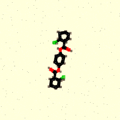 O=C(Oc1ccc(OC(=O)c2ccccc2Cl)cc1)c1ccccc1Cl